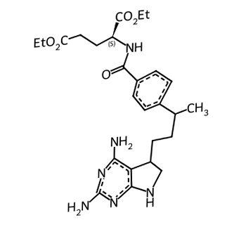 CCOC(=O)CC[C@H](NC(=O)c1ccc(C(C)CCC2CNc3nc(N)nc(N)c32)cc1)C(=O)OCC